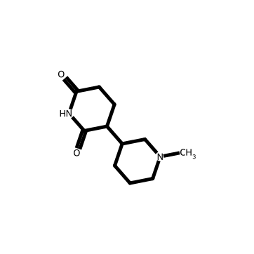 CN1CCCC(C2CCC(=O)NC2=O)C1